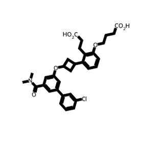 CN(C)C(=O)c1cc(OC2CC(c3cccc(OCCCC(=O)O)c3CCC(=O)O)C2)cc(-c2cccc(Cl)c2)c1